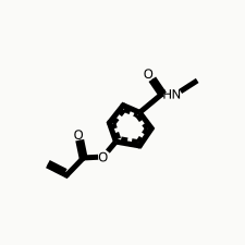 C=CC(=O)Oc1ccc(C(=O)NC)cc1